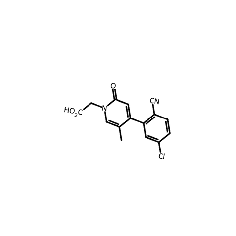 Cc1cn(CC(=O)O)c(=O)cc1-c1cc(Cl)ccc1C#N